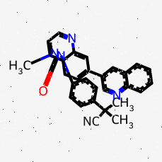 CN1C(=O)N(c2ccc(C(C)(C)C#N)cc2)C23CC=C(c4cnc5ccccc5c4)C=C2N=CC=C13